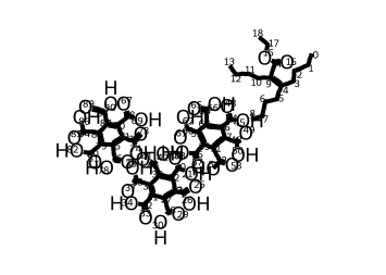 CCCCC(CCCC)=C(CCCC)C(=O)OCC.O=C(O)c1c(C(=O)O)c(C(=O)O)c(C(=O)O)c(C(=O)O)c1C(=O)O.O=C(O)c1c(C(=O)O)c(C(=O)O)c(C(=O)O)c(C(=O)O)c1C(=O)O.O=C(O)c1c(C(=O)O)c(C(=O)O)c(C(=O)O)c(C(=O)O)c1C(=O)O